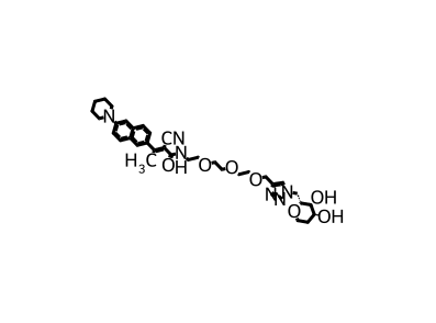 C/C(=C(/C#N)C(=O)NCCOCCOCCOCc1cn(C[C@H]2OCC[C@@H](O)[C@@H]2O)nn1)c1ccc2cc(N3CCCCC3)ccc2c1